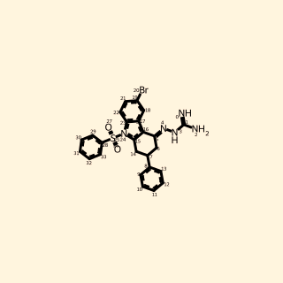 N=C(N)NN=C1CC(c2ccccc2)Cc2c1c1cc(Br)ccc1n2S(=O)(=O)c1ccccc1